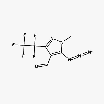 Cn1nc(C(F)(F)C(F)(F)F)c(C=O)c1N=[N+]=[N-]